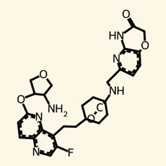 NC1COCC1Oc1ccc2ncc(F)c(CCC34CCC(NCc5ccc6c(n5)NC(=O)CO6)(CC3)CO4)c2n1